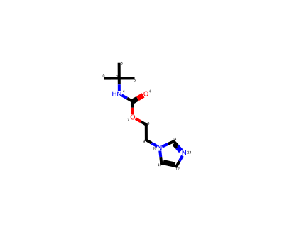 CC(C)(C)NC(=O)OCCn1ccnc1